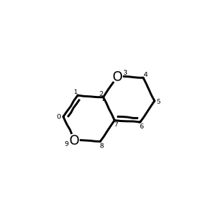 C1=C[C]2OCCC=C2CO1